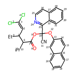 CCC(C=C(Cl)Cl)C(C(=O)OC(C#N)(Oc1ccc2ccccc2c1)c1nccc2ccccc12)C(C)C